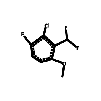 COc1ccc(F)c(Cl)c1C(F)F